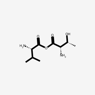 CC(C)[C@H](N)C(=O)OC(=O)[C@@H](N)[C@@H](C)O